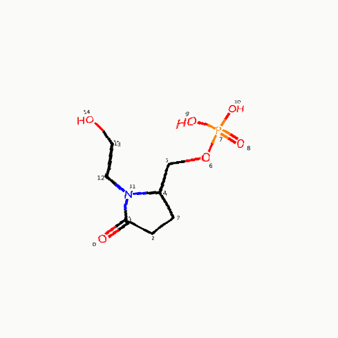 O=C1CCC(COP(=O)(O)O)N1CCO